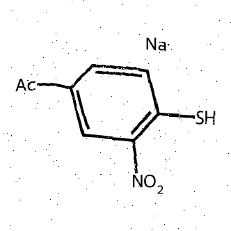 CC(=O)c1ccc(S)c([N+](=O)[O-])c1.[Na]